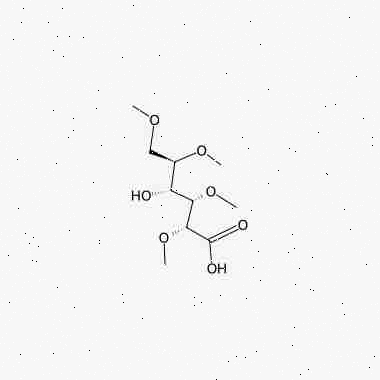 COC[C@@H](OC)[C@@H](O)[C@H](OC)[C@@H](OC)C(=O)O